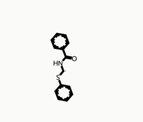 O=C(N[CH]Sc1ccccc1)c1ccccc1